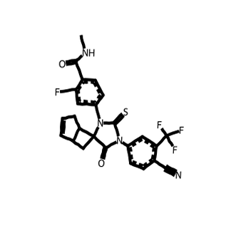 CNC(=O)c1ccc(N2C(=S)N(c3ccc(C#N)c(C(F)(F)F)c3)C(=O)C23CC2C=CCC23)cc1F